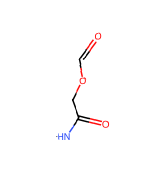 [NH]C(=O)COC=O